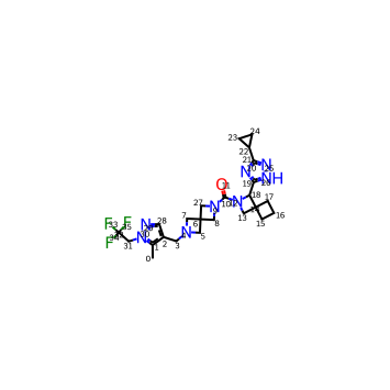 Cc1c(CN2CC3(C2)CN(C(=O)N2CC4(CCC4)C2c2nc(C4CC4)n[nH]2)C3)cnn1CC(F)(F)F